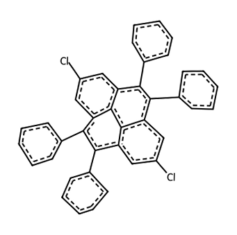 Clc1cc2c(-c3ccccc3)c(-c3ccccc3)c3cc(Cl)cc4c(-c5ccccc5)c(-c5ccccc5)c(c1)c2c34